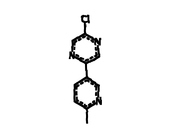 Cc1ccc(-c2cnc(Cl)cn2)cn1